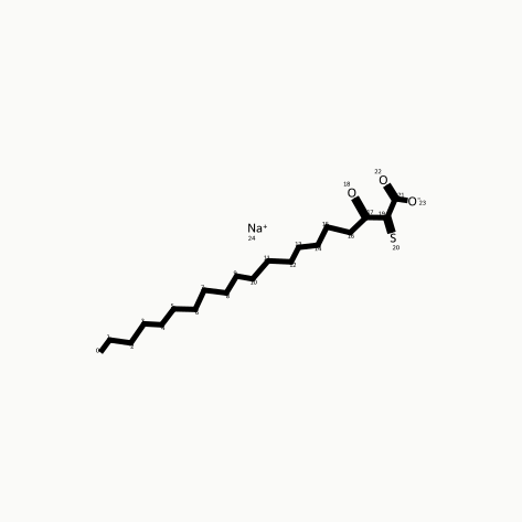 CCCCCCCCCCCCCCCCCC(=O)C(=S)C(=O)[O-].[Na+]